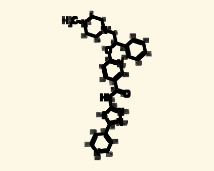 CN1CCN(CC(Oc2ccc(C(=O)Nc3nnc(-c4ccncc4)s3)cn2)c2ccccc2)CC1